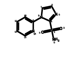 NS(=O)(=O)c1nccn1-c1ccccn1